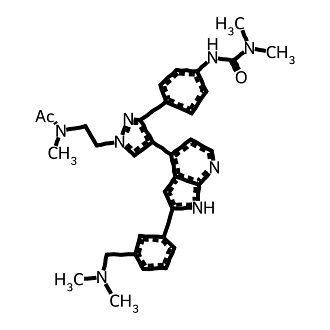 CC(=O)N(C)CCn1cc(-c2ccnc3[nH]c(-c4cccc(CN(C)C)c4)cc23)c(-c2ccc(NC(=O)N(C)C)cc2)n1